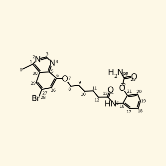 Cc1ncnc2c(OCCCCCC(=O)Nc3ccccc3OC(N)=O)cc(Br)cc12